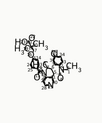 CCN(C(=O)[C@H]1C[C@H](C)N(C(=O)c2ccc(OCC(C)(C)C(=O)O)cc2)c2ccncc21)c1ccc(Cl)cc1